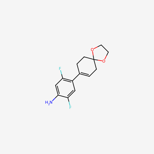 Nc1cc(F)c(C2=CCC3(CC2)OCCO3)cc1F